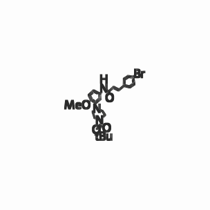 COc1ccc(NC(=O)/C=C/c2ccc(Br)cc2)cc1N1CCN(C(=O)OC(C)(C)C)CC1